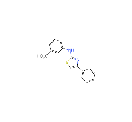 O=C(O)c1cccc(Nc2nc(-c3ccccc3)cs2)c1